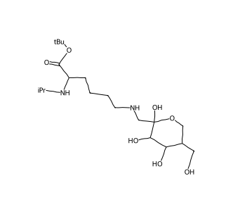 CC(C)NC(CCCCNCC1(O)OCC(CO)C(O)C1O)C(=O)OC(C)(C)C